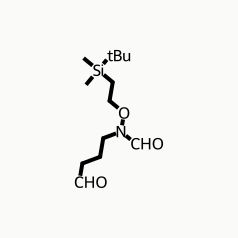 CC(C)(C)[Si](C)(C)CCON(C=O)CCCC=O